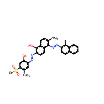 CCS(=O)(=O)c1cc(O)c(/N=N/c2ccc3c(/N=N/c4ccc5ccccc5c4C)c(NC)ccc3c2O)cc1OC